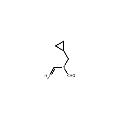 C=CN(C=O)CC1CC1